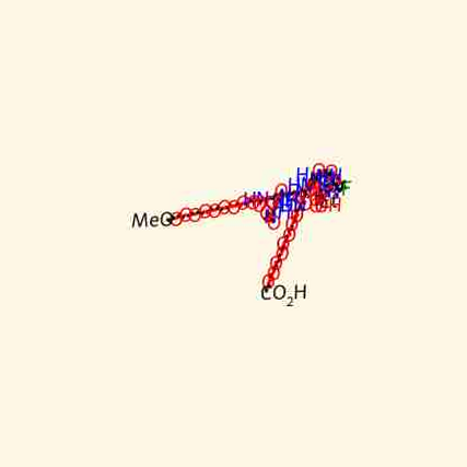 CC[C@@]1(O)C(=O)OCc2c1cc1n(c2=O)Cc2c-1nc1cc(F)c(C)c3c1c2[C@@H](NC(=O)[C@H](C)NC(=O)[C@H](C)NC(=O)[C@H](C)NC(=O)[C@H](CCC(=O)NCCOCCOCCOCCOCCOCCOCCOCCOCCC(=O)O)NC(=O)CCCNC(=O)[C@H](CCCCNC(=O)COCCOCCOCCOCCOCCOCCOCCOCCOCCOC)NC(=O)CCCN1C(=O)C=CC1=O)CC3